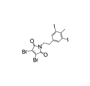 Cc1c(I)cc(CCN2C(=O)C(Br)=C(Br)C2=O)cc1I